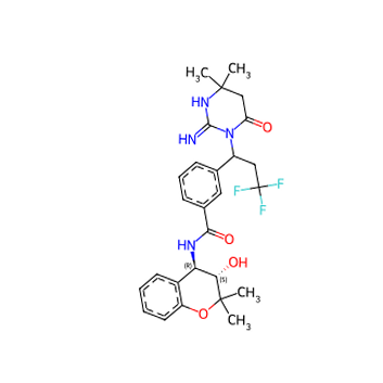 CC1(C)CC(=O)N(C(CC(F)(F)F)c2cccc(C(=O)N[C@@H]3c4ccccc4OC(C)(C)[C@H]3O)c2)C(=N)N1